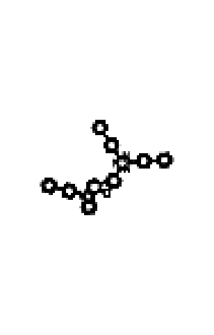 C1=CC2c3cc(-c4nc(-c5ccc(-c6ccccc6)cc5)nc(-c5ccc(-c6ccccc6)cc5)n4)ccc3OC2c2c1n(-c1ccc(-c3ccccc3)cc1)c1ccccc21